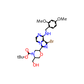 COc1ccc(CNc2nccn3c(C4CN(C(=O)OC(C)(C)C)C(CO)CO4)nc(Br)c23)c(OC)c1